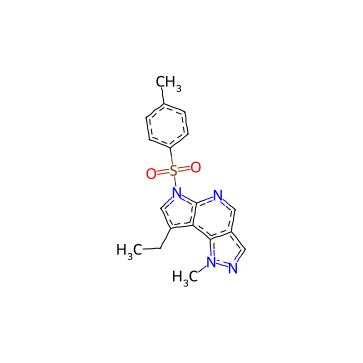 CCc1cn(S(=O)(=O)c2ccc(C)cc2)c2ncc3cnn(C)c3c12